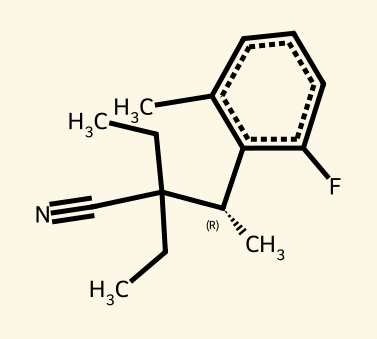 CCC(C#N)(CC)[C@@H](C)c1c(C)cccc1F